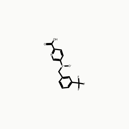 O=C(O)c1ccc([S+]([O-])Cc2cccc(C(F)(F)F)c2)cn1